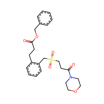 O=C(CCc1ccccc1CS(=O)(=O)CCC(=O)N1CCOCC1)OCc1ccccc1